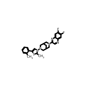 Cc1ccccc1C1=[C]N(N2CC3CC(CN(c4cnc5cc(F)c(F)cc5n4)C3)C2)C(C)S1